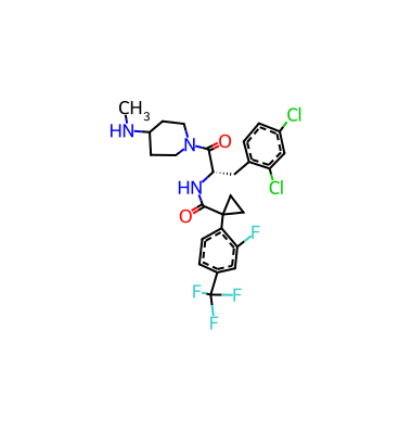 CNC1CCN(C(=O)[C@H](Cc2ccc(Cl)cc2Cl)NC(=O)C2(c3ccc(C(F)(F)F)cc3F)CC2)CC1